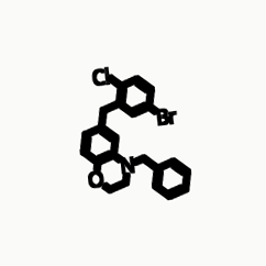 Clc1ccc(Br)cc1Cc1ccc2c(c1)N(Cc1ccccc1)CCO2